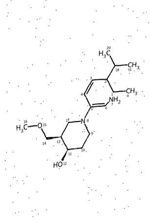 CCC(/C=C\C(=C/N)N1CC[C@@H](O)[C@@H](COC)C1)C(C)C